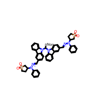 CCCCCCCCCC(n1c2ccccc2c2cc(/C=N/N(c3ccccc3)C3CCS(=O)(=O)C3)ccc21)n1c2ccccc2c2cc(/C=N/N(c3ccccc3)C3CCS(=O)(=O)C3)ccc21